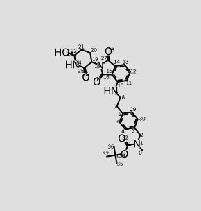 CN(Cc1ccc(CCNc2cccc3c2C(=O)N(C2CCC(O)NC2=O)C3=O)cc1)C(=O)OC(C)(C)C